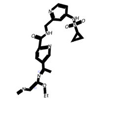 C=N/C=C(\N=C(/C)c1ccc(C(=O)NCc2cc(NS(=O)(=O)C3CC3)ccn2)nc1)OCC